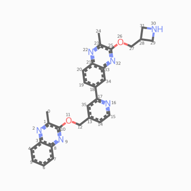 Cc1nc2ccccc2nc1OCc1ccnc(-c2ccc3nc(C)c(OCC4CNC4)nc3c2)c1